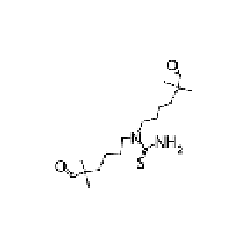 CC(C)(C=O)CCCCN(CCCCC(C)(C)C=O)C(N)=S